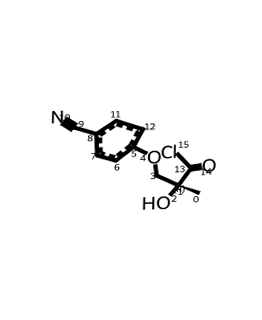 C[C@@](O)(COc1ccc(C#N)cc1)C(=O)Cl